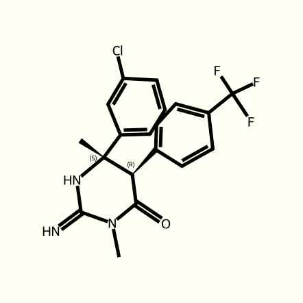 CN1C(=N)N[C@](C)(c2cccc(Cl)c2)[C@@H](c2ccc(C(F)(F)F)cc2)C1=O